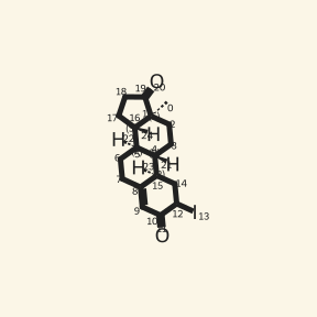 C[C@]12CC[C@H]3[C@@H](CCC4=CC(=O)C(I)C[C@@H]43)[C@@H]1CCC2=O